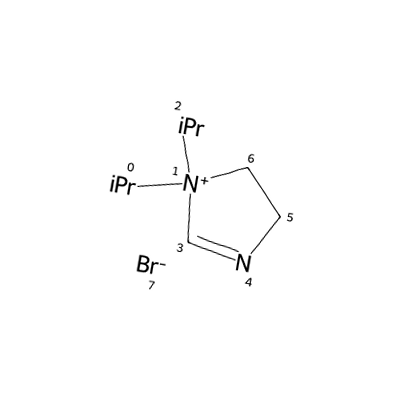 CC(C)[N+]1(C(C)C)C=NCC1.[Br-]